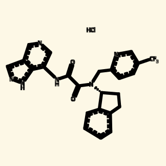 Cl.O=C(Nc1cncc2cn[nH]c12)C(=O)N(Cc1ccc(C(F)(F)F)cn1)[C@@H]1CCc2ccccc21